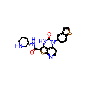 O=C(N[C@@H]1CCCNC1)c1sc2nccc3c2c1NC(=O)N3c1ccc2sccc2c1